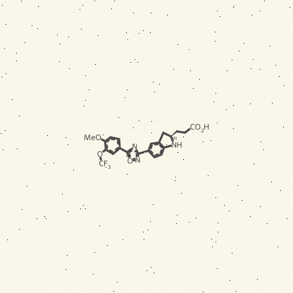 COc1ccc(-c2nc(-c3ccc4c(c3)C[C@@H](CCC(=O)O)N4)no2)cc1OC(F)(F)F